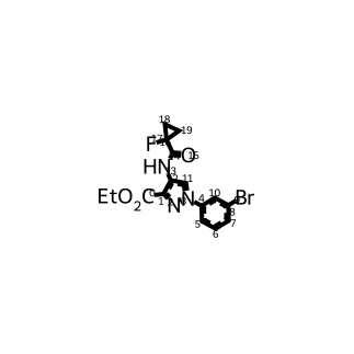 CCOC(=O)c1nn(-c2cccc(Br)c2)cc1NC(=O)C1(F)CC1